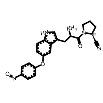 N#C[C@@H]1CCCN1C(=O)C(N)Cc1c[nH]c2ccc(Oc3ccc(N=O)cc3)cc12